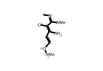 C\N=C(NC)/C(Cl)=C(N)/C=C/ONC